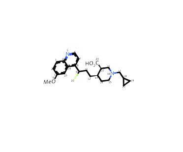 COc1ccc2nccc(C(F)CC[C@@H]3CCN(CC4CC4)C[C@@H]3C(=O)O)c2c1